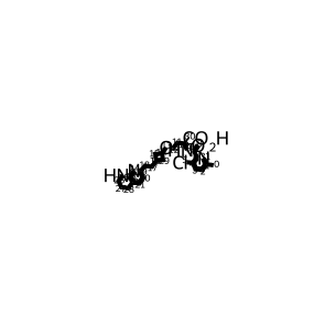 Cc1ccc(Cl)c(C(=O)N[C@@H](CCOC2CC(CCc3ccc4c(n3)NCCC4)C2)C(=O)O)n1